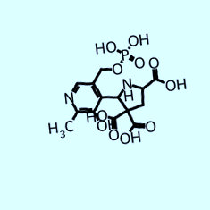 Cc1ncc(COP(=O)(O)O)c(C2NC(C(=O)O)CC2(C(=O)O)C(=O)O)c1O